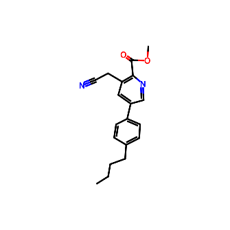 CCCCc1ccc(-c2cnc(C(=O)OC)c(CC#N)c2)cc1